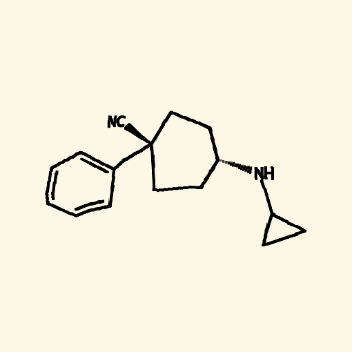 N#C[C@]1(c2ccccc2)CC[C@@H](NC2CC2)CC1